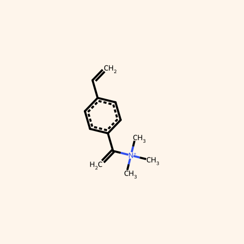 C=Cc1ccc(C(=C)[N+](C)(C)C)cc1